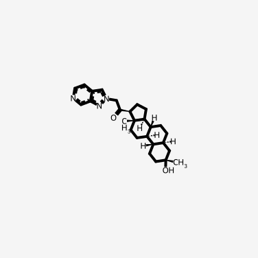 C[C@@]1(O)CC[C@H]2[C@@H](CC[C@@H]3[C@@H]2CC[C@]2(C)[C@@H](C(=O)Cn4cc5ccncc5n4)CC[C@@H]32)C1